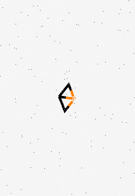 C1C2CP12